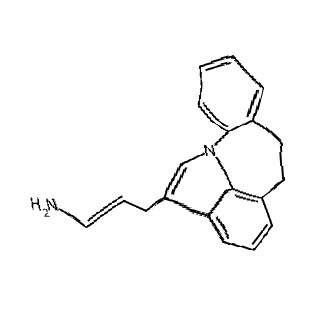 NC=CCc1cn2c3c(cccc13)CCc1ccccc1-2